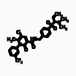 C=CC(N(C)C)S(=O)(=O)c1ccc(CNC(=O)c2cc(Cl)c(C)n(-c3cccc(C(F)(F)F)c3)c2=O)cc1